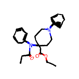 CCOC(=O)C1(N(C(=O)CC)c2ccccc2)CCN(c2ccccc2)CC1